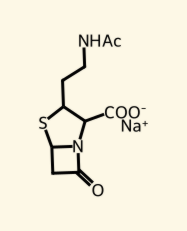 CC(=O)NCCC1SC2CC(=O)N2C1C(=O)[O-].[Na+]